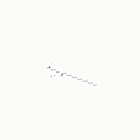 CCCCCCCCCCCCCC(=O)O[C@H](CO)CCC(C)=O